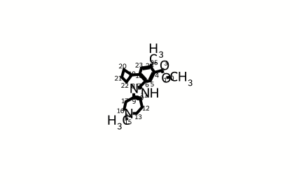 COC(=O)c1cc(-c2nc3c([nH]2)CCN(C)CC3)c(C2CCC2)cc1C